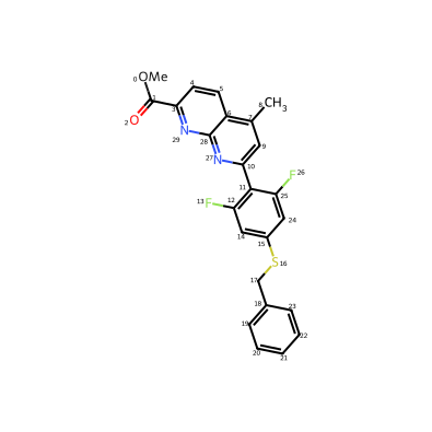 COC(=O)c1ccc2c(C)cc(-c3c(F)cc(SCc4ccccc4)cc3F)nc2n1